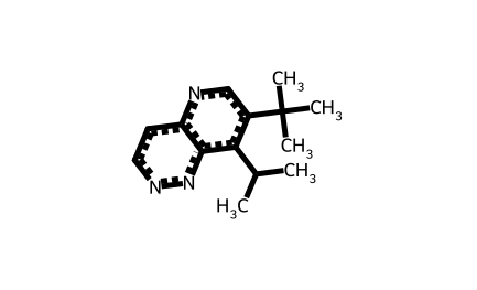 CC(C)c1c(C(C)(C)C)cnc2ccnnc12